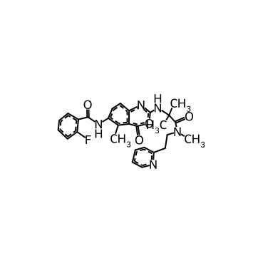 Cc1c(NC(=O)c2ccccc2F)ccc2nc(NC(C)(C)C(=O)N(C)CCc3ccccn3)oc(=O)c12